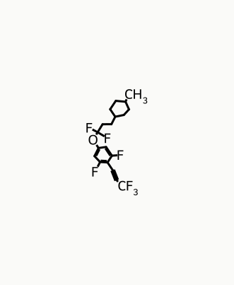 CC1CCC(CCC(F)(F)Oc2cc(F)c(C#CC(F)(F)F)c(F)c2)CC1